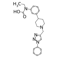 CCN(C(=O)O)c1cccc(C2CCN(Cc3cn(-c4ccccc4)nn3)CC2)c1